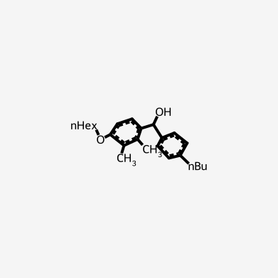 CCCCCCOc1ccc(C(O)c2ccc(CCCC)cc2)c(C)c1C